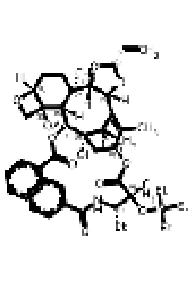 C=C[C@@H]1O[C@@H]2C3=C(C)[C@@H](OC(=O)[C@](C)(O[Si](CC)(CC)CC)[C@H](CC)NC(=O)c4ccccc4)C[C@@](O)([C@@H](OC(=O)c4ccccc4)[C@H]4[C@@](C)(CC[C@H]5OC[C@]54OC(C)=O)[C@@H]2O1)C3(C)C